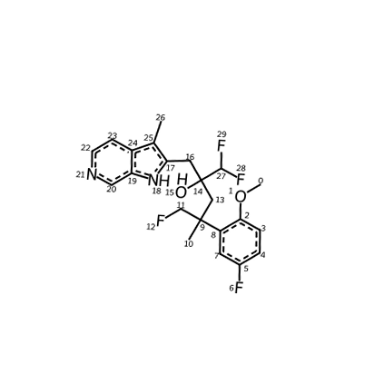 COc1ccc(F)cc1C(C)(CF)CC(O)(Cc1[nH]c2cnccc2c1C)C(F)F